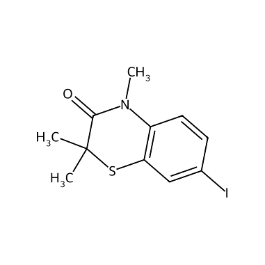 CN1C(=O)C(C)(C)Sc2cc(I)ccc21